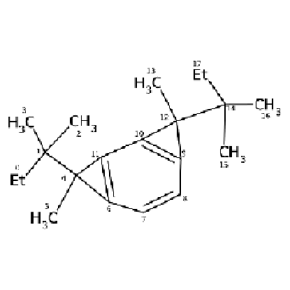 CCC(C)(C)C1(C)c2ccc3c(c21)C3(C)C(C)(C)CC